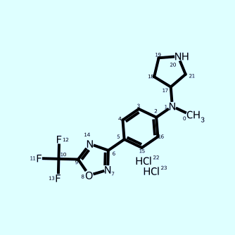 CN(c1ccc(-c2noc(C(F)(F)F)n2)cc1)C1CCNC1.Cl.Cl